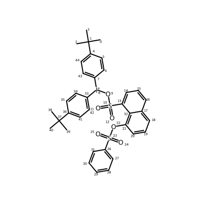 CC(C)(C)c1ccc([I+](OS(=O)(=O)c2cccc3cccc(OS(=O)(=O)c4ccccc4)c23)c2ccc(C(C)(C)C)cc2)cc1